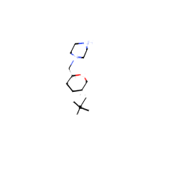 CC(C)(C)C[C@@H]1CC[C@@H](CN2CCNCC2)OC1